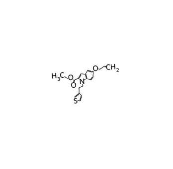 C=CCOc1ccc2c(c1)cc(C(=O)OCC)n2CCc1ccsc1